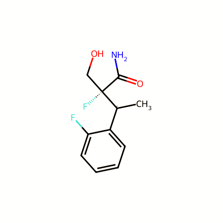 C[C](c1ccccc1F)[C@@](F)(CO)C(N)=O